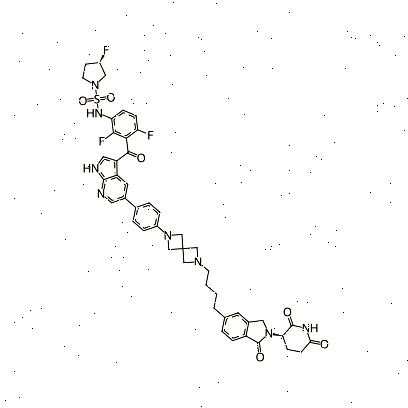 O=C1CC[C@@H](N2Cc3cc(CCCCN4CC5(C4)CN(c4ccc(-c6cnc7[nH]cc(C(=O)c8c(F)ccc(NS(=O)(=O)N9CC[C@@H](F)C9)c8F)c7c6)cc4)C5)ccc3C2=O)C(=O)N1